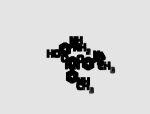 CNc1cccc(-c2nc(Oc3cccc(C4=NCCN4C)c3)cc(Oc3cc(C(=N)N)ccc3O)n2)c1